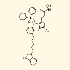 CC(=O)c1cc(CCC(=O)NO)c(CCC(N)(c2ccccc2)c2ccccc2)n1Cc1ccccc1CCCCCc1c[nH]c2ccccc12